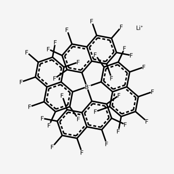 Fc1c(F)c(F)c2c([B-](c3c(F)c(F)c(F)c4c(F)c(F)c(F)c(F)c34)(c3c(F)c(F)c(F)c4c(F)c(F)c(F)c(F)c34)c3c(F)c(F)c(F)c4c(F)c(F)c(F)c(F)c34)c(F)c(F)c(F)c2c1F.[Li+]